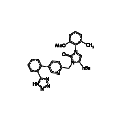 CCCCc1cn(-c2c(C)cccc2OC)c(=O)n1Cc1ccc(-c2ccccc2-c2nnn[nH]2)cn1